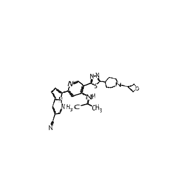 CC(C)Nc1cc(-c2ccc3cc(C#N)cnn23)ncc1-c1nnc(C2CCN(C3COC3)CC2)s1